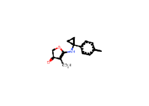 Cc1ccc(C2(NC3=C(C(=O)O)C(=O)CO3)CC2)cc1